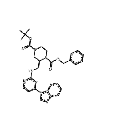 CC(C)(C)OC(=O)N1CCN(C(=O)OCc2ccccc2)C(CNc2nccc(-n3cnc4ccccc43)n2)C1